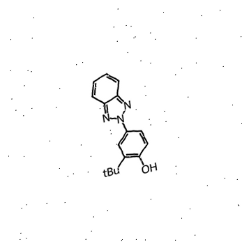 CC(C)(C)c1cc(-n2nc3ccccc3n2)ccc1O